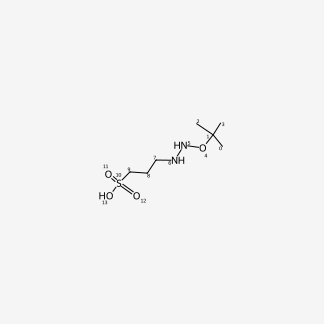 CC(C)(C)ONNCCCS(=O)(=O)O